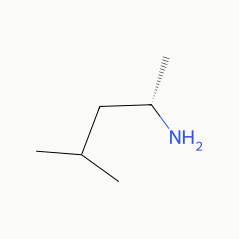 CC(C)C[C@H](C)N